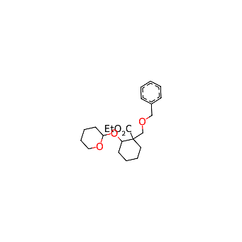 CCOC(=O)C1(COCc2ccccc2)CCCCC1OC1CCCCO1